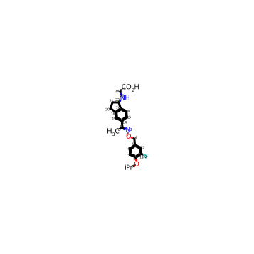 C/C(=N\OCc1ccc(OC(C)C)c(F)c1)c1ccc2c(c1)CCC2NCC(=O)O